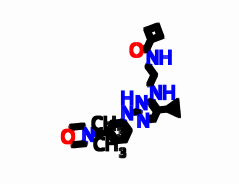 CC(C)(c1cccc(Nc2ncc(C3CC3)c(NCCCNC(=O)C3CCC3)n2)c1)N1CCOCC1